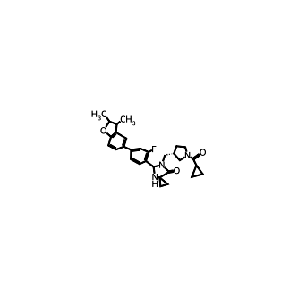 CC1Oc2ccc(-c3ccc(C4NC5(CC5)C(=O)N4C[C@@H]4CCN(C(=O)C5CC5)C4)c(F)c3)cc2C1C